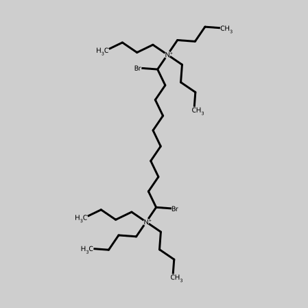 CCCC[N+](CCCC)(CCCC)C(Br)CCCCCCCCC(Br)[N+](CCCC)(CCCC)CCCC